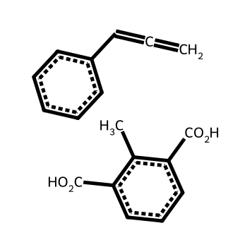 C=C=Cc1ccccc1.Cc1c(C(=O)O)cccc1C(=O)O